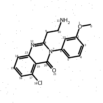 COc1cccc(-n2c(CCN)nc3cccc(Cl)c3c2=O)c1